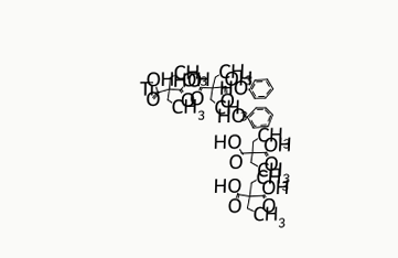 CCC(CC)(C(=O)O)C(=O)O.CCC(CC)(C(=O)O)C(=O)O.CCC(CC)(C(=O)O)C(=O)O.CCC(CC)(C(=O)O)C(=O)O.Oc1ccccc1.Oc1ccccc1.[Ti]